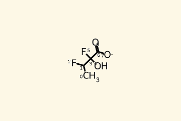 CC(F)C(O)(F)C([O])=O